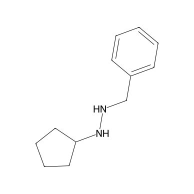 c1ccc(CNNC2CCCC2)cc1